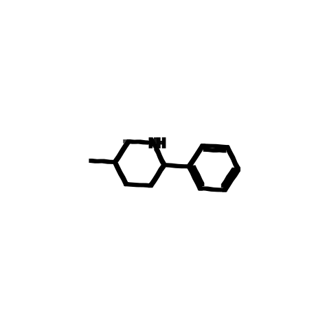 CC1[CH]NC(c2ccccc2)CC1